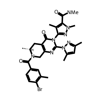 CNC(=O)c1c(C)c(-n2c(-n3nc(C)cc3C)nc3c(c2=O)C[C@@H](C)N(C(=O)c2ccc(Br)c(C)c2)C3)nn1C